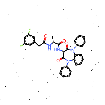 C[C@H](NC(=O)Cc1cc(F)cc(F)c1)C(=O)NC1C(=O)N(c2ccccc2)c2ccccc2N(c2ccccc2)C1=O